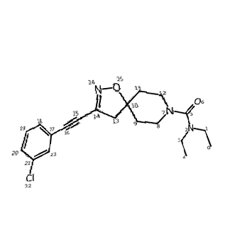 CCN(CC)C(=O)N1CCC2(CC1)CC(C#Cc1cccc(Cl)c1)=NO2